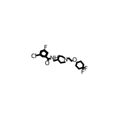 O=C(NCC1CCN(CCOC2CCC(F)(F)CC2)CC1)c1cc(F)cc(Cl)c1